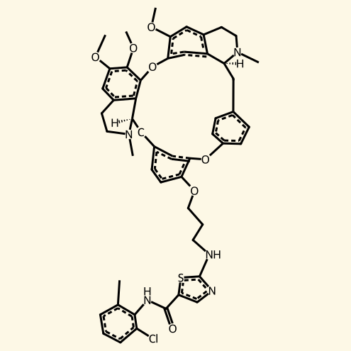 COc1cc2c3cc1Oc1c(OC)c(OC)cc4c1[C@@H](Cc1ccc(OCCCNc5ncc(C(=O)Nc6c(C)cccc6Cl)s5)c(c1)Oc1ccc(cc1)C[C@@H]3N(C)CC2)N(C)CC4